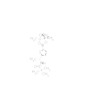 C[C@@H](N[S+]([O-])C(C)(C)C)c1ccc(B2OC(C)(C)C(C)(C)O2)s1